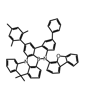 Cc1cc(C)c(-c2cc3c4c(c2)N2c5ccccc5C(C)(C)c5cccc(c52)B4N(c2cccc4c2oc2ccccc24)c2ccc(-c4ccccc4)cc2-3)c(C)c1